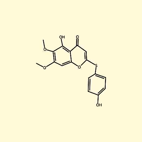 COc1cc2oc(Sc3ccc(O)cc3)cc(=O)c2c(O)c1OC